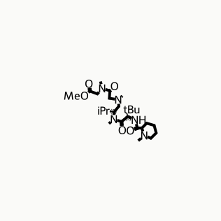 COC(=O)CN(C)C(=O)CN(C)C[C@H](C(C)C)N(C)C(=O)[C@@H](NC(=O)C1CCCCN1C)C(C)(C)C